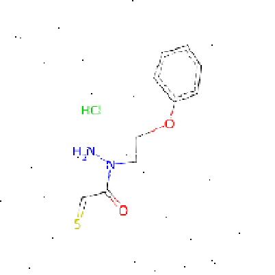 Cl.NN(CCOc1ccccc1)C(=O)C=S